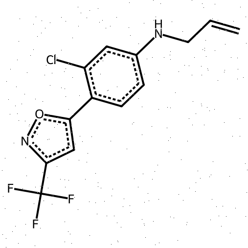 C=CCNc1ccc(-c2cc(C(F)(F)F)no2)c(Cl)c1